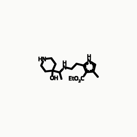 CCOC(=O)c1c(C)c[nH]c1CCNC(C)C1(O)CCNCC1